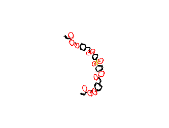 C=CC(=O)OCOc1ccc(CC(=O)Oc2ccc(S(=O)(=O)c3ccc(OC(=O)Cc4ccc(OCOC(=O)C=C)cc4)cc3)cc2)cc1